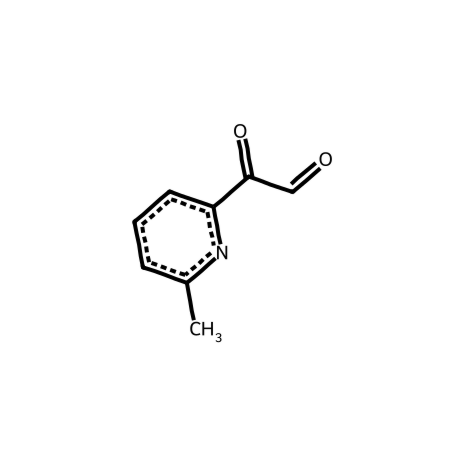 Cc1cccc(C(=O)C=O)n1